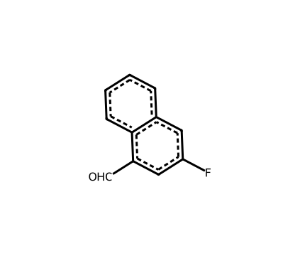 O=Cc1cc(F)cc2ccccc12